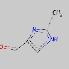 [CH2]c1nc(C=O)c[nH]1